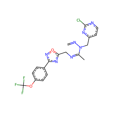 C=NN(Cc1ccnc(Cl)n1)/C(C)=N\Cc1nc(-c2ccc(OC(F)(F)F)cc2)no1